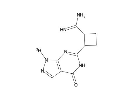 [2H]n1ncc2c(=O)[nH]c(C3CCC3C(=N)N)nc21